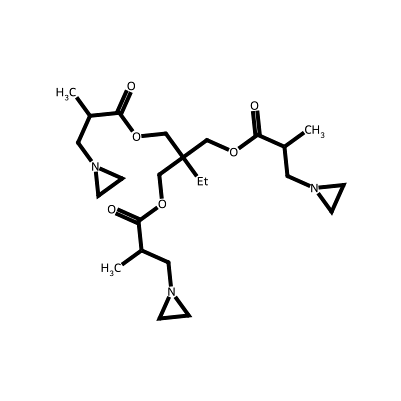 CCC(COC(=O)C(C)CN1CC1)(COC(=O)C(C)CN1CC1)COC(=O)C(C)CN1CC1